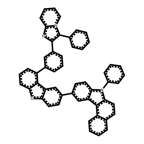 c1ccc(-c2c(-c3cccc(-c4cccc5oc6ccc(-c7ccc8c(c7)c7c9ccccc9ccc7n8-c7ccccc7)cc6c45)c3)nc3ccccn23)cc1